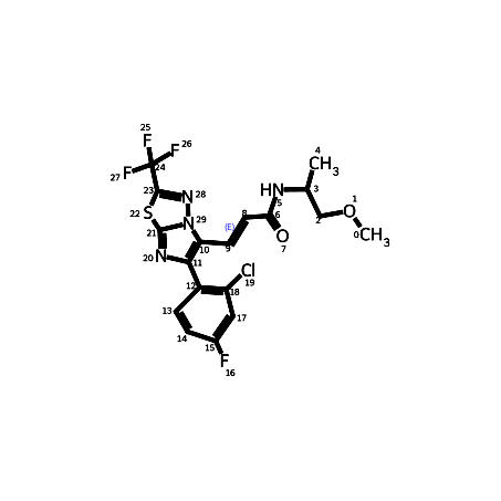 COCC(C)NC(=O)/C=C/c1c(-c2ccc(F)cc2Cl)nc2sc(C(F)(F)F)nn12